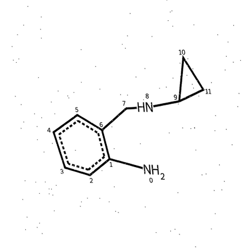 Nc1ccccc1CNC1CC1